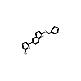 Brc1cccc(-c2ccc3nc(OCc4ccccc4)ccc3c2)n1